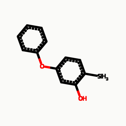 Oc1cc(Oc2ccccc2)ccc1[SiH3]